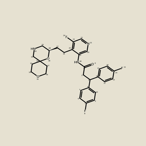 O=C(CC(c1ccc(F)cc1)c1ccc(F)cc1)Nc1cncc(F)c1CC[C@@H]1CNCC2(CCOCC2)O1